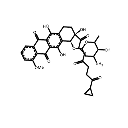 COc1cccc2c1C(=O)c1c(O)c3c(c(O)c1C2=O)CC[C@](O)(C(=O)COC(=O)CCC(=O)C1CC1)[C@H]3OC1CC(N)C(O)C(C)O1